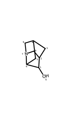 OC1C2CC3CC1N(C3)C2